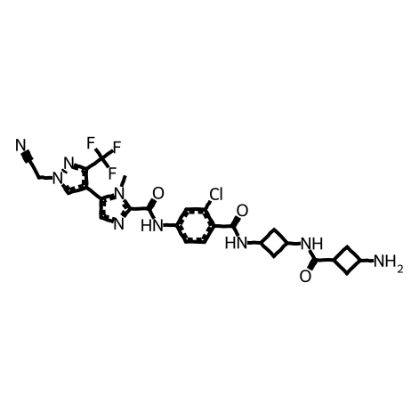 Cn1c(-c2cn(CC#N)nc2C(F)(F)F)cnc1C(=O)Nc1ccc(C(=O)NC2CC(NC(=O)C3CC(N)C3)C2)c(Cl)c1